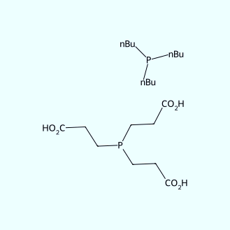 CCCCP(CCCC)CCCC.O=C(O)CCP(CCC(=O)O)CCC(=O)O